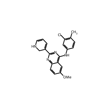 COc1ccc2nc(C3=CC=CNC3)nc(Nc3ccc(C)c(Cl)c3)c2c1